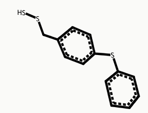 SSCc1ccc(Sc2ccccc2)cc1